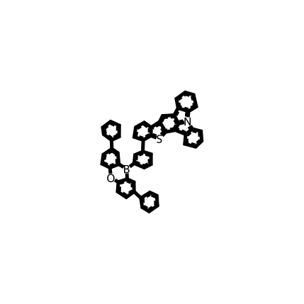 c1ccc(-c2ccc3c(c2)B(c2cccc(-c4cccc5c4sc4c5cc5c6ccccc6n6c7ccccc7c4c56)c2)c2cc(-c4ccccc4)ccc2O3)cc1